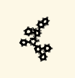 c1ccc(C2=NC(c3ccc(-c4ccccc4)c(-c4ccccc4)c3)NC(c3ccc(-c4ccc5ccccc5c4)c4oc5ccccc5c34)=N2)cc1